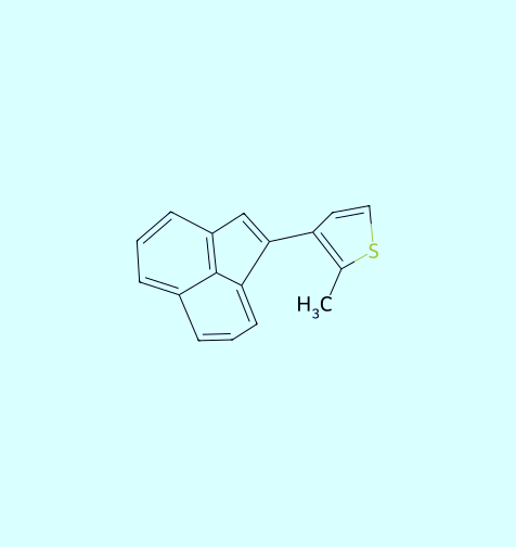 Cc1sccc1C1=Cc2cccc3cccc1c23